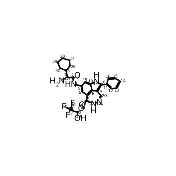 N[C@H](C(=O)Nc1cc2c3c(c(-c4ccccc4)[nH]c3c1)C=NNC2=O)C1CCCCC1.O=C(O)C(F)(F)F